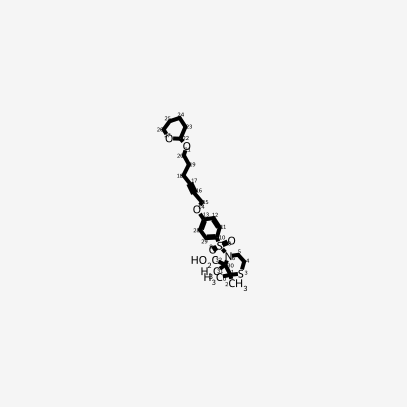 CC1(C)SCCN(S(=O)(=O)c2ccc(OCC#CCCCOC3CCCCO3)cc2)C1(C)C(=O)O